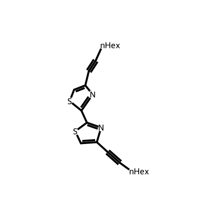 CCCCCCC#Cc1csc(-c2nc(C#CCCCCCC)cs2)n1